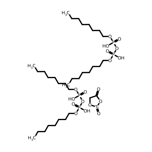 CCCCCCCCOP(=O)(O)OP(=O)(O)OCCCCCCCC.CCCCCCCCOP(=O)(O)OP(=O)(O)OCCCCCCCC.O=C1C[O][Ti](=[O])[O]1